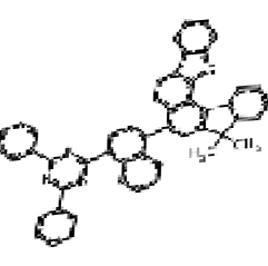 CC1(C)c2ccccc2-c2c1cc(-c1ccc(-c3nc(-c4ccccc4)nc(-c4ccccc4)n3)c3ccccc13)c1ccc3c4ccccc4sc3c21